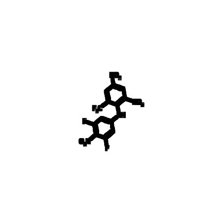 O=[N+]([O-])c1cc([N+](=O)[O-])c(Nc2cc(F)c([N+](=O)[O-])c(F)c2)c(C(F)(F)F)c1